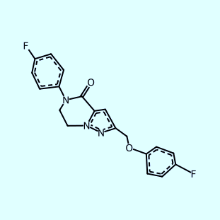 O=C1c2cc(COc3ccc(F)cc3)nn2CCN1c1ccc(F)cc1